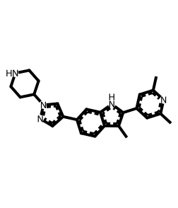 Cc1cc(-c2[nH]c3cc(-c4cnn(C5CCNCC5)c4)ccc3c2C)cc(C)n1